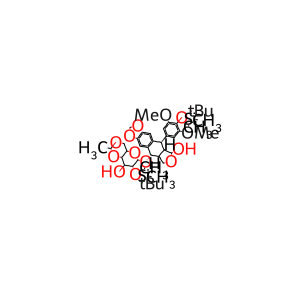 COc1cc([C@@H]2c3cc4c(cc3[C@@H](OC3OC5COC(C)OC5C(O)C3O[Si](C)(C)C(C)(C)C)[C@H]3CO[C@@H](O)[C@H]23)OCO4)cc(OC)c1O[Si](C)(C)C(C)(C)C